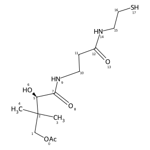 CC(=O)OCC(C)(C)[C@@H](O)C(=O)NCCC(=O)NCCS